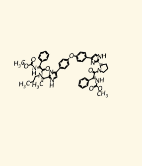 CCCN(C(=O)[C@H](NC(=O)OC)c1ccccc1)[C@@H](C)c1nc(-c2ccc(Oc3ccc(-c4c[nH]c([C@@H]5CCCN5C(=O)[C@H](NC(=O)OC)c5ccccc5)n4)cc3)cc2)c[nH]1